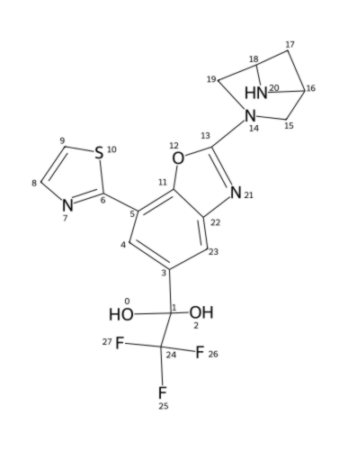 OC(O)(c1cc(-c2nccs2)c2oc(N3CC4CC(C3)N4)nc2c1)C(F)(F)F